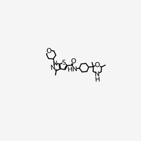 Cc1nn(C2CCOCC2)c2sc(C(=O)NC3CCC(C4(C)CNCC(C)O4)CC3)cc12